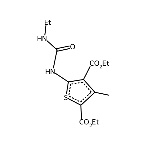 CCNC(=O)Nc1sc(C(=O)OCC)c(C)c1C(=O)OCC